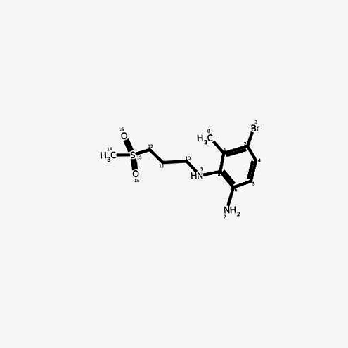 Cc1c(Br)ccc(N)c1NCCCS(C)(=O)=O